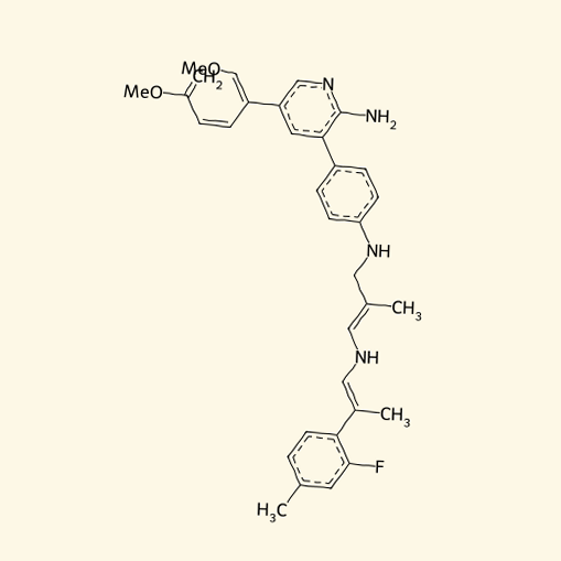 C=C(/C=C\C(=C/OC)c1cnc(N)c(-c2ccc(NC/C(C)=C/N/C=C(\C)c3ccc(C)cc3F)cc2)c1)OC